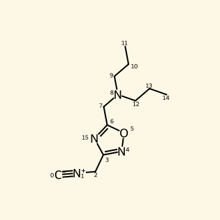 [C-]#[N+]Cc1noc(CN(CCC)CCC)n1